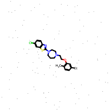 CCc1ccc(C)c(OCCN2CCCN(c3nc4ccc(Cl)cc4s3)CC2)c1